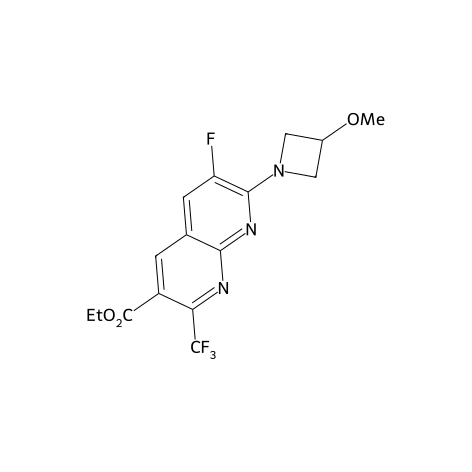 CCOC(=O)c1cc2cc(F)c(N3CC(OC)C3)nc2nc1C(F)(F)F